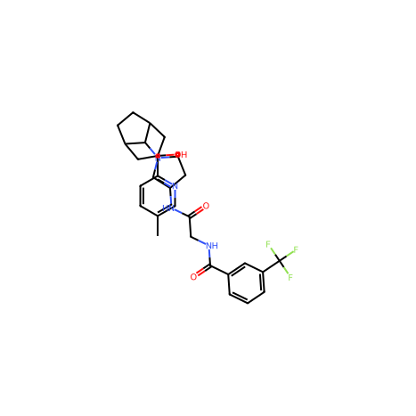 Cc1ccc(C2(O)CC3CCC(C2)C3N2CCC(NC(=O)CNC(=O)c3cccc(C(F)(F)F)c3)C2)nc1